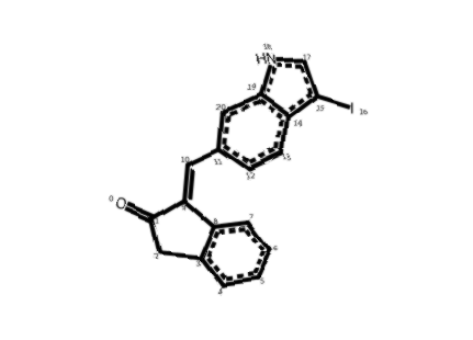 O=C1Cc2ccccc2/C1=C\c1ccc2c(I)c[nH]c2c1